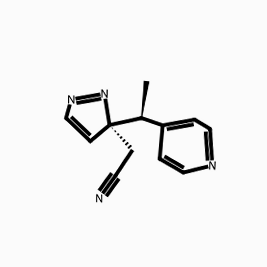 C[C@@H](c1ccncc1)[C@@]1(CC#N)C=CN=N1